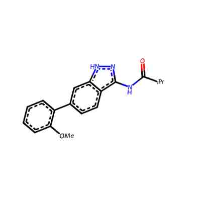 COc1ccccc1-c1ccc2c(NC(=O)C(C)C)n[nH]c2c1